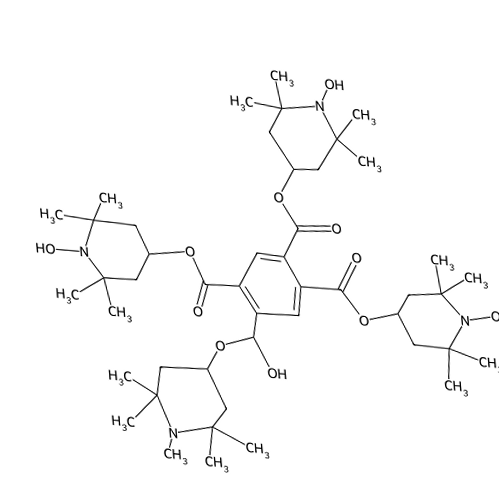 CN1C(C)(C)CC(OC(O)c2cc(C(=O)OC3CC(C)(C)N(O)C(C)(C)C3)c(C(=O)OC3CC(C)(C)N(O)C(C)(C)C3)cc2C(=O)OC2CC(C)(C)N(O)C(C)(C)C2)CC1(C)C